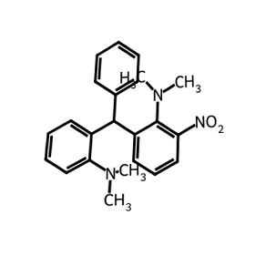 CN(C)c1ccccc1C(c1ccccc1)c1cccc([N+](=O)[O-])c1N(C)C